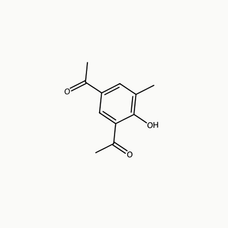 CC(=O)c1cc(C)c(O)c(C(C)=O)c1